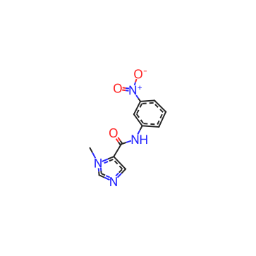 Cn1cncc1C(=O)Nc1cccc([N+](=O)[O-])c1